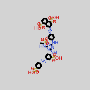 CC(Nc1nc(Nc2ccc(N=Nc3cc(S(=O)(=O)O)c4cccc(S(=O)(=O)O)c4c3)cc2)nc(Nc2ccc(N=Nc3ccc(S(=O)(=O)O)cc3)cc2S(=O)(=O)O)n1)S(=O)(=O)O